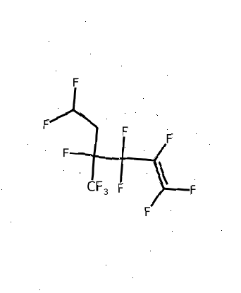 FC(F)=C(F)C(F)(F)C(F)(CC(F)F)C(F)(F)F